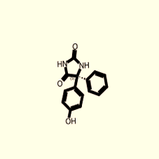 O=C1NC(=O)[C@](c2ccccc2)(c2ccc(O)cc2)N1